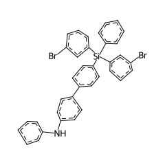 Brc1cccc([Si](c2ccccc2)(c2ccc(-c3ccc(Nc4ccccc4)cc3)cc2)c2cccc(Br)c2)c1